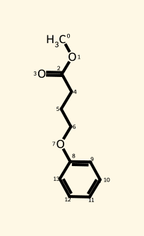 COC(=O)CCCOc1c[c]ccc1